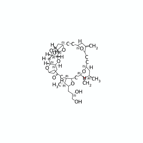 C=C1C[C@@H]2CC[C@@]34C[C@H]5O[C@H]6[C@@H](O3)[C@H]3OC(CC[C@@H]3O[C@H]6[C@H]5O4)CC(=O)C[C@H]3C(C[C@H]4O[C@@H](CCC1O2)C[C@@H](C)C4=C)OC(C[C@H](O)CO)[C@@H]3C